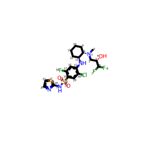 CN(C[C@H](O)C(F)F)[C@H]1CCCC[C@@H]1Nc1cc(F)c(S(=O)(=O)Nc2nccs2)cc1Cl